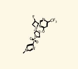 Cn1cnc(S(=O)(=O)N2C[C@@H](N3CC(F)C3)[C@H](Oc3cc(C(F)(F)F)ncn3)C2)c1